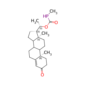 CPC(=O)O[C@@H](C)[C@H]1CCC2C3CCC4=CC(=O)CC[C@]4(C)C3CC[C@@]21C